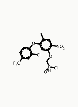 Cc1cc([N+](=O)[O-])c(OC[PH](=O)Cl)cc1Oc1ccc(C(F)(F)F)cc1Cl